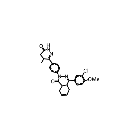 COc1ccc(C2=NN(c3ccc(C4=NNC(=O)CC4C)cc3)C(=O)C3CC=CCC23)cc1Cl